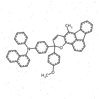 COc1ccc(C2(c3ccc(N(c4ccccc4)c4cccc5ccccc45)cc3)C=Cc3c(C)c4c5c(cccc5c3O2)-c2ccccc2-4)cc1